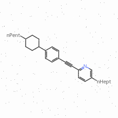 CCCCCCCc1ccc(C#Cc2ccc(C3CCC(CCCCC)CC3)cc2)nc1